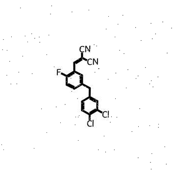 N#CC(C#N)=Cc1cc(Cc2ccc(Cl)c(Cl)c2)ccc1F